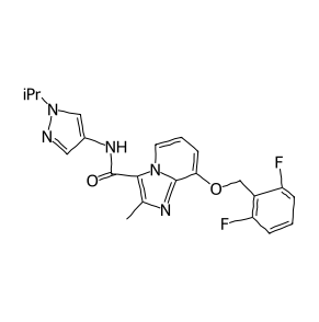 Cc1nc2c(OCc3c(F)cccc3F)cccn2c1C(=O)Nc1cnn(C(C)C)c1